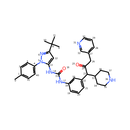 Cc1ccc(-n2nc(C(C)(C)C)cc2NC(=O)Nc2cccc(C(C(=O)Cc3cccnc3)C3CCNCC3)c2)cc1